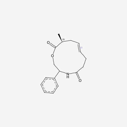 C[C@H]1C/C=C/CCC(=O)NC(c2ccccc2)COC1=O